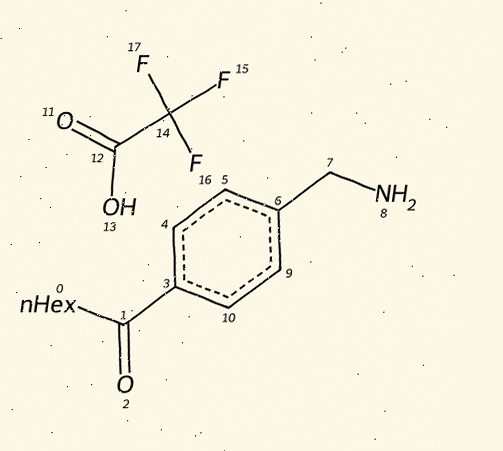 CCCCCCC(=O)c1ccc(CN)cc1.O=C(O)C(F)(F)F